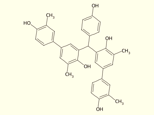 Cc1cc(-c2cc(C)c(O)c(C(c3ccc(O)cc3)c3cc(-c4ccc(O)c(C)c4)cc(C)c3O)c2)ccc1O